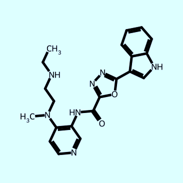 CCNCCN(C)c1ccncc1NC(=O)c1nnc(-c2c[nH]c3ccccc23)o1